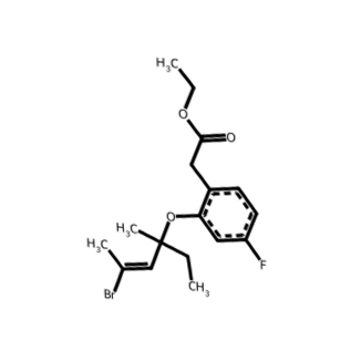 CCOC(=O)Cc1ccc(F)cc1OC(C)(/C=C(\C)Br)CC